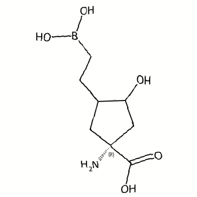 N[C@@]1(C(=O)O)CC(O)C(CCB(O)O)C1